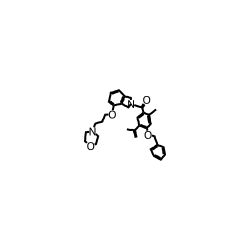 C=C(C)c1cc(C(=O)N2Cc3cccc(OCCCN4CCOCC4)c3C2)c(C)cc1OCc1ccccc1